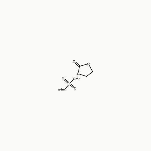 CCCCCCS(=O)(=O)OC.O=C1OCCO1